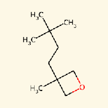 CC(C)(C)CCC1(C)COC1